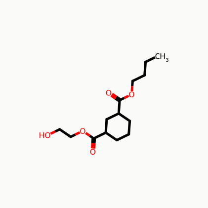 CCCCOC(=O)C1CCCC(C(=O)OCCO)C1